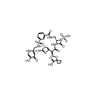 Nc1nc(/C(=N/OC2(C(=O)O)CCC2)C(=O)N[C@@H]2C(=O)N(S(=O)(=O)O)[C@@H]2CNC(=O)c2cccc(S(=O)(=O)NCc3cc(=O)c(O)c[nH]3)c2)cs1